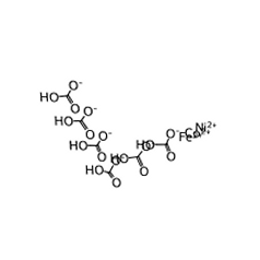 O=C([O-])O.O=C([O-])O.O=C([O-])O.O=C([O-])O.O=C([O-])O.O=C([O-])O.[Co+2].[Fe+2].[Ni+2]